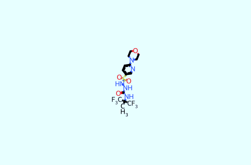 CC(NC(=O)NNS(=O)(=O)c1ccc(N2CCOCC2)nc1)(C(F)(F)F)C(F)(F)F